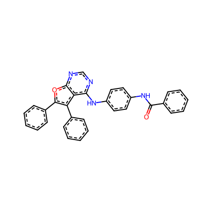 O=C(Nc1ccc(Nc2ncnc3oc(-c4ccccc4)c(-c4ccccc4)c23)cc1)c1ccccc1